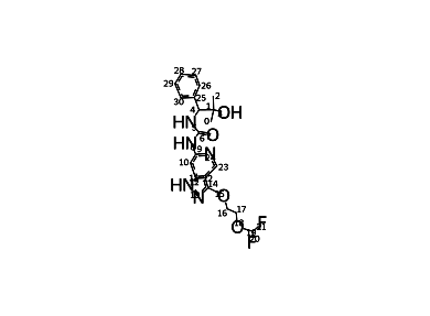 CC(C)(O)C(NC(=O)Nc1cc2[nH]nc(OCCOC(F)F)c2cn1)c1ccccc1